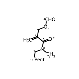 C=C(COC=O)C(=O)N(C)CC(C)CCC